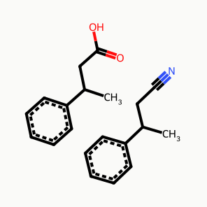 CC(CC#N)c1ccccc1.CC(CC(=O)O)c1ccccc1